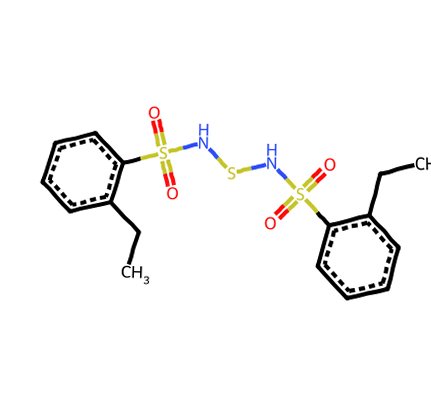 CCc1ccccc1S(=O)(=O)NSNS(=O)(=O)c1ccccc1CC